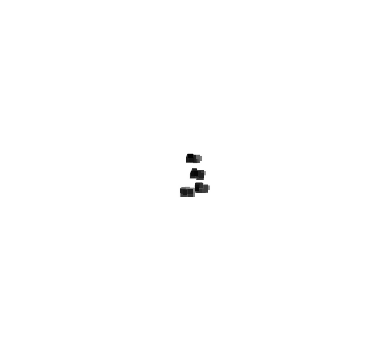 [Ag].[Au].[Cu].[Sb]